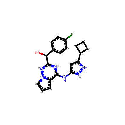 OC(c1ccc(F)cc1)c1nc(Nc2cc(C3CCC3)[nH]n2)c2cccn2n1